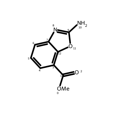 COC(=O)c1cccc2nc(N)oc12